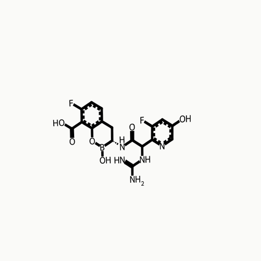 N=C(N)NC(C(=O)N[C@H]1Cc2ccc(F)c(C(=O)O)c2OB1O)c1ncc(O)cc1F